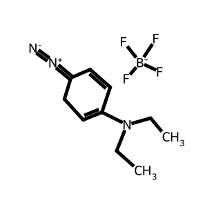 CCN(CC)C1=CCC(=[N+]=[N-])C=C1.F[B-](F)(F)F